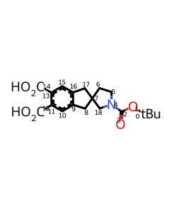 CC(C)(C)OC(=O)N1CCC2(Cc3cc(C(=O)O)c(C(=O)O)cc3C2)C1